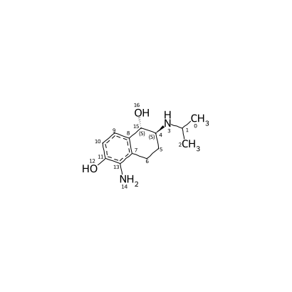 CC(C)N[C@H]1CCc2c(ccc(O)c2N)[C@@H]1O